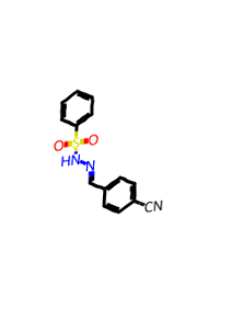 N#Cc1ccc(C=NNS(=O)(=O)c2ccccc2)cc1